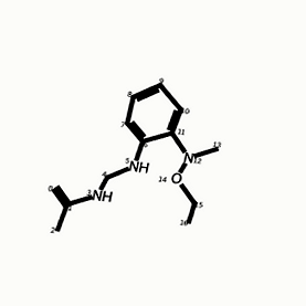 C=C(C)NCNc1ccccc1N(C)OCC